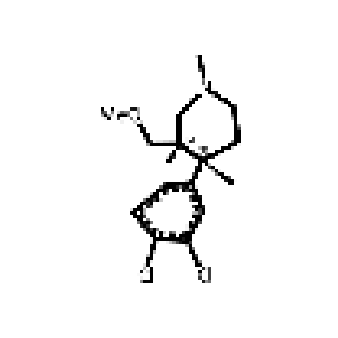 COC[C@]1(C)CN(C)CC[C@]1(C)c1ccc(Cl)c(Cl)c1